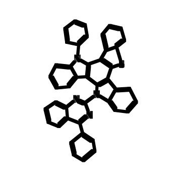 c1ccc(-c2nc(-n3c4ccccc4c4c5sc6ccccc6c5c5c(c6ccccc6n5-c5ccccc5)c43)nc3ccccc23)cc1